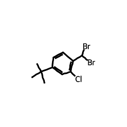 CC(C)(C)c1ccc(C(Br)Br)c(Cl)c1